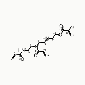 C=CC(=O)NCCN(CCNCCOC(=O)C(=C)C)C(=O)C=C